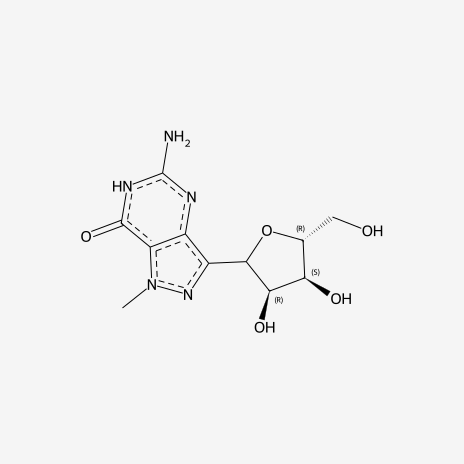 Cn1nc(C2O[C@H](CO)[C@@H](O)[C@H]2O)c2nc(N)[nH]c(=O)c21